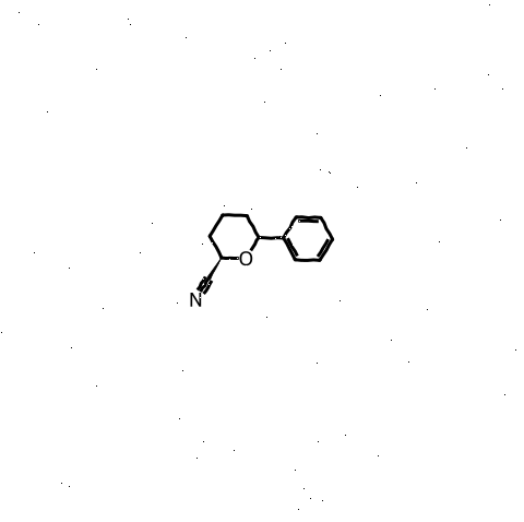 N#C[C@H]1CCCC(c2ccccc2)O1